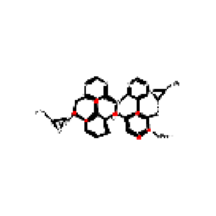 CCCCC[C@H]1CC[C@H](C(=O)Oc2ncncc2-c2c(C[C@@H]3O[C@H]3CCC)cccc2Oc2cccc(C[C@@H]3O[C@H]3CCC)c2-c2cncnc2OC(=O)[C@H]2CC[C@H](CCCCC)CC2)CC1